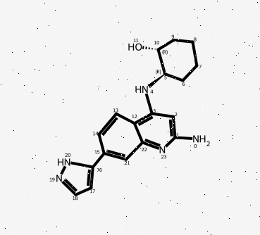 Nc1cc(N[C@@H]2CCCC[C@H]2O)c2ccc(-c3ccn[nH]3)cc2n1